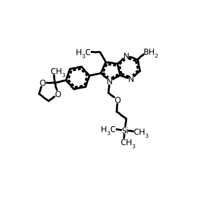 Bc1cnc2c(n1)c(CC)c(-c1ccc(C3(C)OCCO3)cc1)n2COCC[Si](C)(C)C